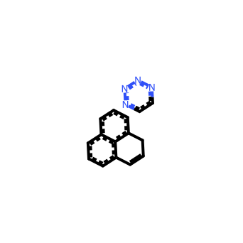 C1=Cc2cccc3cccc(c23)C1.c1cnnnn1